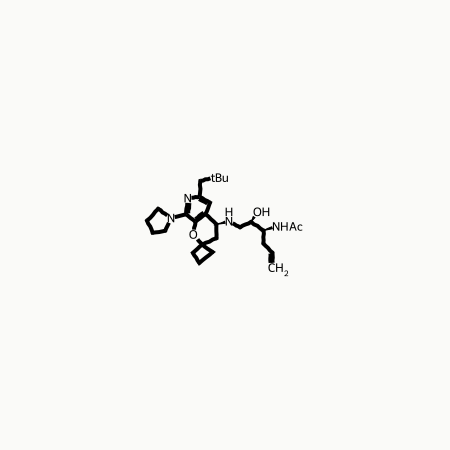 C=CC[C@H](NC(C)=O)[C@H](O)CN[C@H]1CC2(CCC2)Oc2c1cc(CC(C)(C)C)nc2N1CCCC1